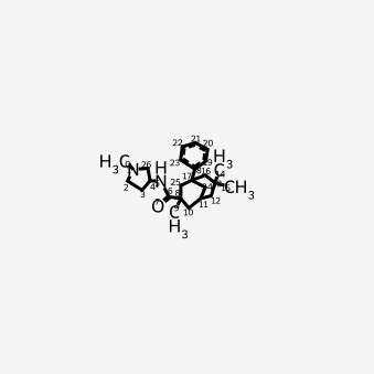 CN1CCC(NC(=O)C2(C)CC3CC(C)(C)CC(c4ccccc4)(C3)C2)C1